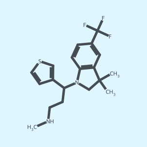 CNCCC(c1ccsc1)N1CC(C)(C)c2cc(C(F)(F)F)ccc21